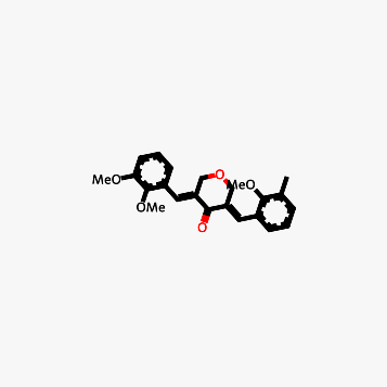 COc1cccc(/C=C2\COC/C(=C\c3cccc(C)c3OC)C2=O)c1OC